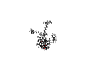 CC[Si](C)(CC)CCCCCCCC[Si](CCCCCCCC[Si](C(C)C)(C(C)C)C(C)C)(Oc1c(F)c(F)c(F)c2c(F)c([B-](c3c(F)c(F)c(F)c(F)c3F)(c3c(F)c(F)c(F)c(F)c3F)C3(F)c4c(F)c(F)c(F)c(F)c4-c4c(F)c(F)c(F)c(F)c43)c(F)c(F)c12)C(C)C.C[NH+](C)c1ccccc1